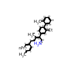 C=C/C=C\C(=C/CCC)CC/C(C)=C(\CN)c1ccc(-c2ccccc2C)c(CC)c1